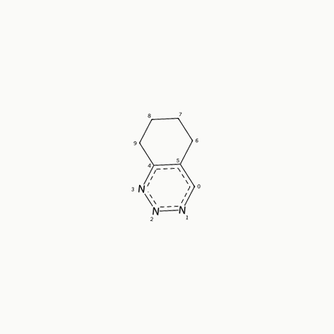 c1nnnc2c1CCCC2